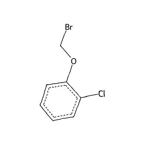 Clc1ccccc1OCBr